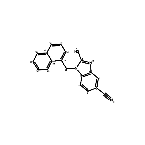 N#Cc1ccc2c(c1)nc(S)n2Cc1cccc2ccccc12